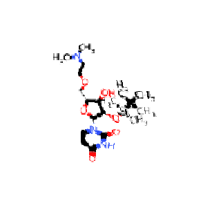 CN(C)CCOC[C@H]1O[C@@H](n2ccc(=O)[nH]c2=O)[C@H](O[Si](C)(C)C(C)(C)C)C1O